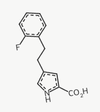 O=C(O)c1cc(CCc2ccccc2F)c[nH]1